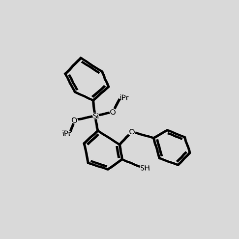 CC(C)O[Si](OC(C)C)(c1ccccc1)c1cccc(S)c1Oc1ccccc1